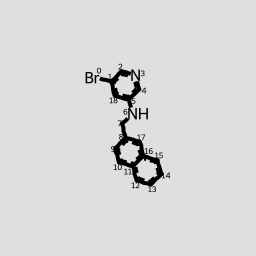 Brc1cncc(NCc2ccc3ccccc3c2)c1